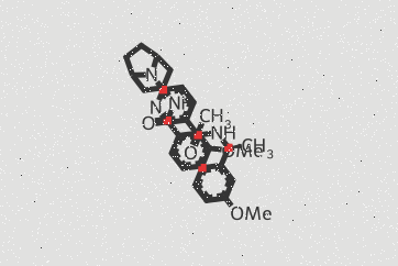 COc1cccc([C@H](C)NC(=O)c2ccc(N3C4CCC3CC(NC(=O)c3cccc(OC)c3C)C4)nc2)c1